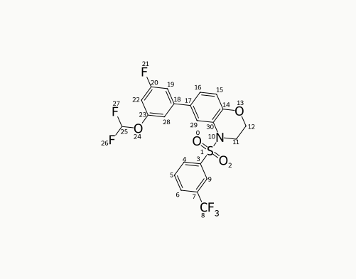 O=S(=O)(c1cccc(C(F)(F)F)c1)N1CCOc2ccc(-c3cc(F)cc(OC(F)F)c3)cc21